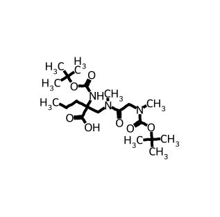 CCCC(CN(C)C(=O)CN(C)C(=O)OC(C)(C)C)(NC(=O)OC(C)(C)C)C(=O)O